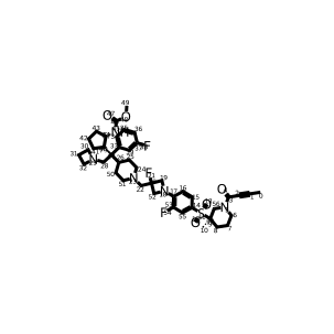 CC#CC(=O)N1CCC[C@@](C)(S(=O)(=O)c2ccc(N3CC(F)(CN4CCC(C(CN5CCC5)(c5cccc(F)c5)[C@H]5CCC[C@@H]5NC(=O)OC)CC4)C3)c(F)c2)C1